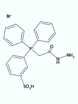 NNC(=O)C[P+](c1ccccc1)(c1ccccc1)c1cccc(S(=O)(=O)O)c1.[Br-]